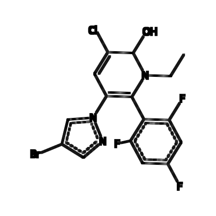 CCN1C(c2c(F)cc(F)cc2F)=C(n2cc(Br)cn2)C=C(Cl)C1O